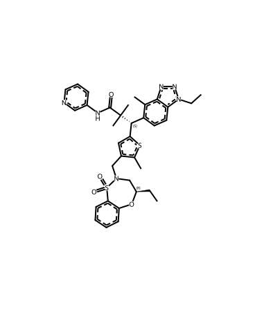 CC[C@@H]1CN(Cc2cc([C@@H](c3ccc4c(nnn4CC)c3C)C(C)(C)C(=O)Nc3cccnc3)sc2C)S(=O)(=O)c2ccccc2O1